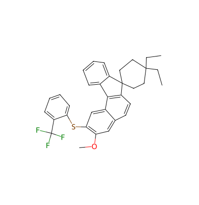 CCC1(CC)CCC2(CC1)c1ccccc1-c1c2ccc2cc(OC)c(Sc3ccccc3C(F)(F)F)cc12